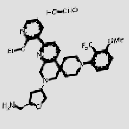 CCOc1ncccc1-c1ccc2c(n1)CN([C@@H]1CO[C@@H](CN)C1)CC21CCN(c2cccc(OC)c2C(F)(F)F)CC1.O=CO